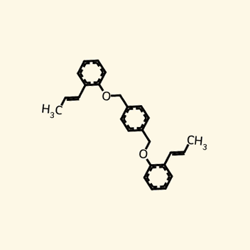 C/C=C/c1ccccc1OCc1ccc(COc2ccccc2/C=C/C)cc1